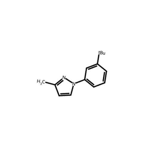 Cc1ccn(-c2cccc(C(C)(C)C)c2)n1